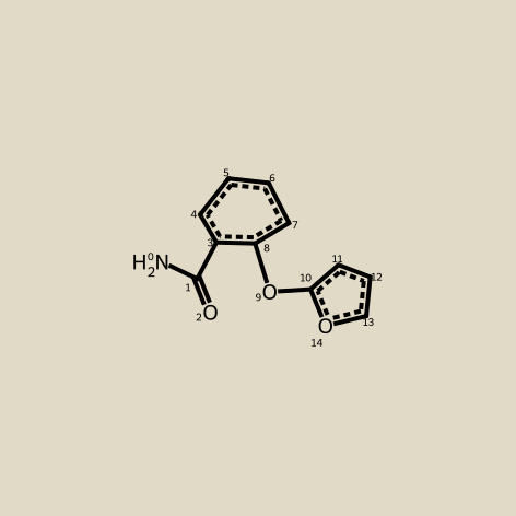 NC(=O)c1ccccc1Oc1ccco1